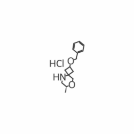 C[C@H]1CNC2(CO1)CC(OCc1ccccc1)C2.Cl